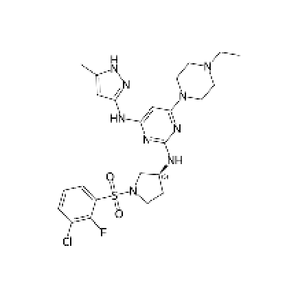 CCN1CCN(c2cc(Nc3cc(C)[nH]n3)nc(N[C@H]3CCN(S(=O)(=O)c4cccc(Cl)c4F)C3)n2)CC1